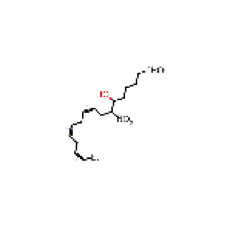 CC/C=C\C/C=C\C/C=C\CC(C(O)CCCC[C]=O)[N+](=O)[O-]